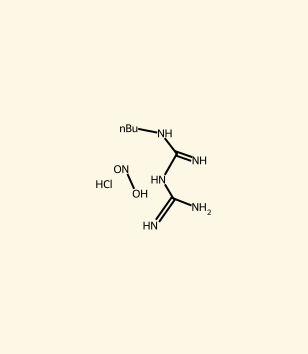 CCCCNC(=N)NC(=N)N.Cl.O=NO